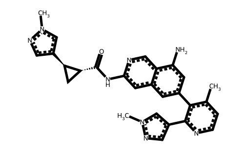 Cc1ccnc(-c2cnn(C)c2)c1-c1cc(N)c2cnc(NC(=O)[C@@H]3C[C@H]3c3cnn(C)c3)cc2c1